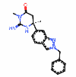 CN1C(=N)N[C@](C)(c2ccc3cn(Cc4ccccc4)nc3c2)CC1=O